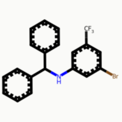 FC(F)(F)c1cc(Br)cc(NC(c2ccccc2)c2ccccc2)c1